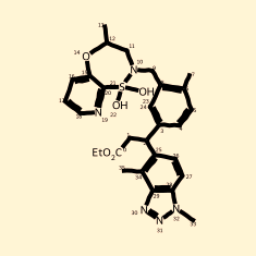 CCOC(=O)CC(c1ccc(C)c(CN2CC(C)Oc3cccnc3S2(O)O)c1)c1ccc2c(nnn2C)c1C